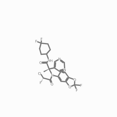 C[C@@](C(=O)NC1CCC(F)(F)CC1)(c1cncnc1)N(C(=O)[C@H](F)Cl)c1ccc2c(c1)OC(F)(F)O2